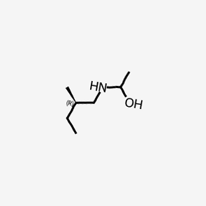 CC[C@@H](C)CNC(C)O